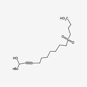 CCCCC(O)C#CCCCCCCCS(=O)(=O)CCCC(=O)O